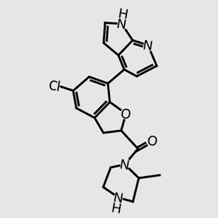 CC1CNCCN1C(=O)C1Cc2cc(Cl)cc(-c3ccnc4[nH]ccc34)c2O1